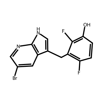 Oc1ccc(F)c(Cc2c[nH]c3ncc(Br)cc23)c1F